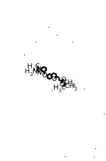 Cn1c(N)nc2c(Oc3ccc4c(c3)CCC(CCC(=O)OC(C)(C)C)O4)cccc21